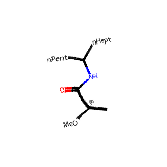 CCCCCCCC(CCCCC)NC(=O)[C@@H](C)OC